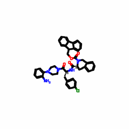 Nc1ccccc1N1CCN(C(=O)[C@@H](Cc2ccc(Cl)cc2)NC(=O)[C@H]2Cc3ccccc3CN2C(=O)OCC2c3ccccc3-c3ccccc32)CC1